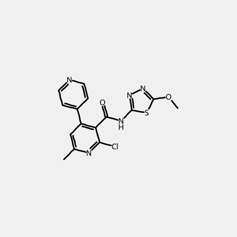 COc1nnc(NC(=O)c2c(-c3ccncc3)cc(C)nc2Cl)s1